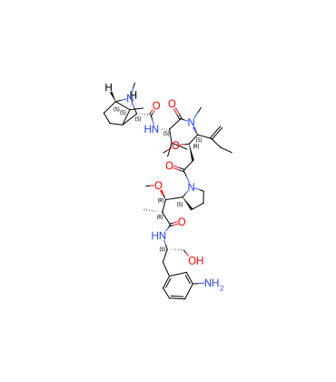 C=C(CC)[C@@H]([C@@H](CC(=O)N1CCC[C@H]1[C@H](OC)[C@@H](C)C(=O)N[C@H](CO)Cc1cccc(N)c1)OC)N(C)C(=O)[C@@H](NC(=O)[C@@H]1C2CC[C@@H]([C@H]2C)N1C)C(C)C